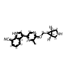 Cc1nc(-c2c[nH]c3c(C#N)cccc23)cnc1OC[C@H]1[C@@H]2CNC[C@@H]21